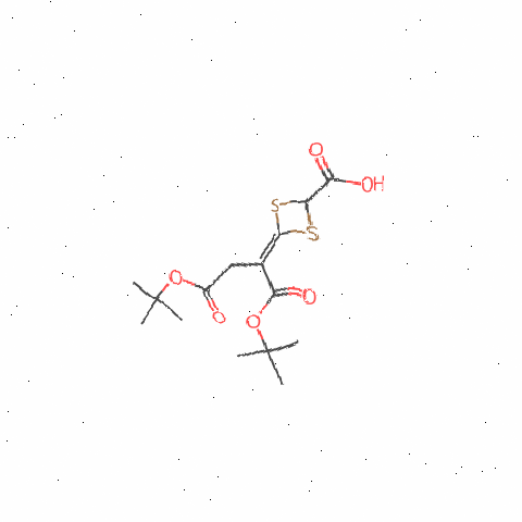 CC(C)(C)OC(=O)CC(C(=O)OC(C)(C)C)=C1SC(C(=O)O)S1